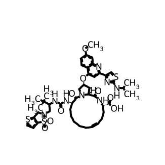 COc1ccc2c(O[C@@H]3C[C@H]4C(=O)N[C@H](C(=O)O)CC/C=C\CCCCC[C@H](NC(=O)NC(CN5Cc6sccc6S5(=O)=O)C(C)(C)C)C(=O)N4C3)cc(-c3csc(NC(C)C)n3)nc2c1